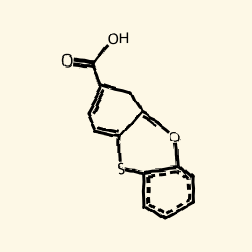 O=C(O)C1=CC=C2Sc3ccccc3OC=C2C1